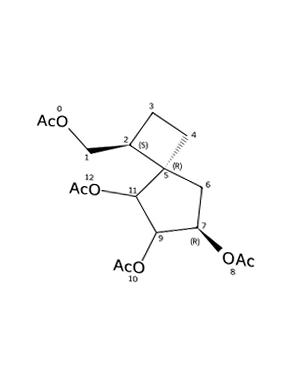 CC(=O)OC[C@H]1CC[C@@]12C[C@@H](OC(C)=O)C(OC(C)=O)C2OC(C)=O